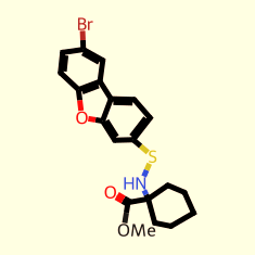 COC(=O)C1(NSc2ccc3c(c2)oc2ccc(Br)cc23)CCCCC1